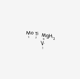 [MgH2].[Mo].[Ti].[V]